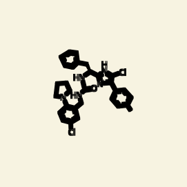 Cc1ccc(-c2nc([C@H](Cc3ccccc3)NC(=O)NCc3cc(Cl)ccc3N3CCCC3)[nH]c2Cl)cc1